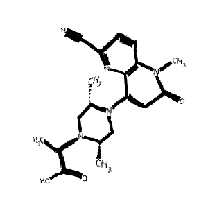 CC(C(=O)O)N1C[C@H](C)N(c2cc(=O)n(C)c3ccc(C#N)nc23)C[C@H]1C